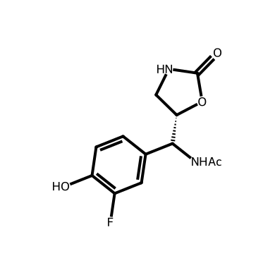 CC(=O)NC(c1ccc(O)c(F)c1)[C@@H]1CNC(=O)O1